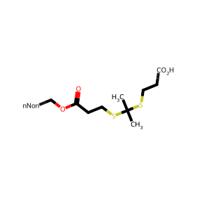 CCCCCCCCCCOC(=O)CCSC(C)(C)SCCC(=O)O